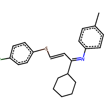 Cc1ccc(N=C(C=CSc2ccc(F)cc2)C2CCCCC2)cc1